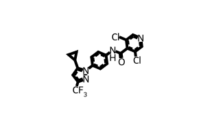 O=C(Nc1ccc(-n2nc(C(F)(F)F)cc2C2CC2)cc1)c1c(Cl)cncc1Cl